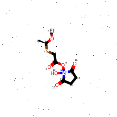 CCO[C@H](C)SCC(=O)O[N+]1(O)C(=O)CCC1=O